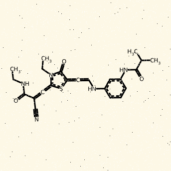 CCNC(=O)C(=C=c1sc(=C=CNc2cccc(NC(=O)C(C)C)c2)c(=O)n1CC)C#N